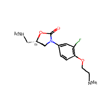 CNCCOc1ccc(N2C[C@H](CNC(C)=O)OC2=O)cc1F